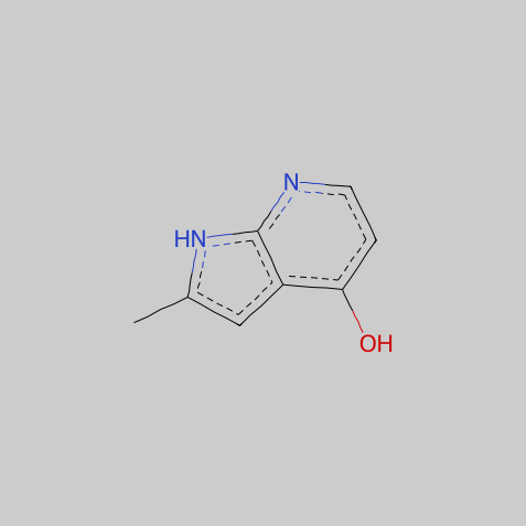 Cc1cc2c(O)ccnc2[nH]1